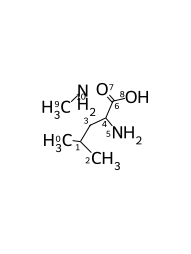 CC(C)CC(N)C(=O)O.CN